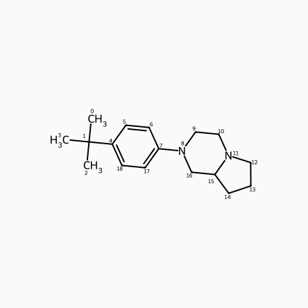 CC(C)(C)c1ccc(N2CCN3CCCC3C2)cc1